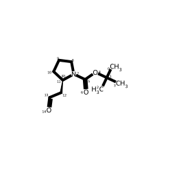 CC(C)(C)OC(=O)N1CCC[C@@H]1CC=O